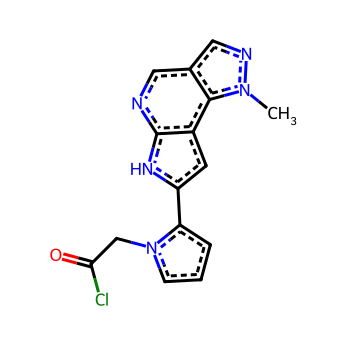 Cn1ncc2cnc3[nH]c(-c4cccn4CC(=O)Cl)cc3c21